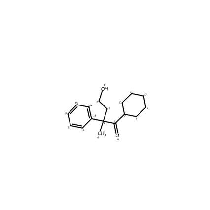 CC(CCO)(C(=O)C1CCCCC1)c1ccccc1